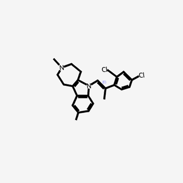 C/C(=C\n1c2c(c3cc(C)ccc31)CCN(C)CC2)c1ccc(Cl)cc1Cl